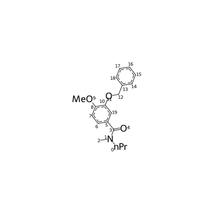 CCCN(C)C(=O)c1ccc(OC)c(OCc2ccccc2)c1